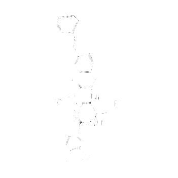 CC(C)CC(NC(=O)c1ccc2c(c1)OCO2)C(=O)NC(Cc1ccc(OCc2ccccc2)cc1)C(=O)OC(C)(C)C